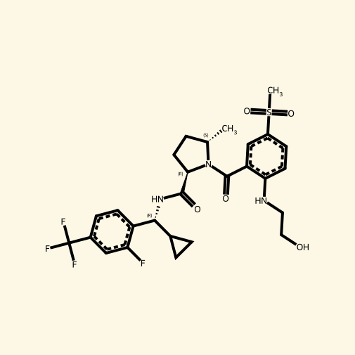 C[C@H]1CC[C@H](C(=O)N[C@@H](c2ccc(C(F)(F)F)cc2F)C2CC2)N1C(=O)c1cc(S(C)(=O)=O)ccc1NCCO